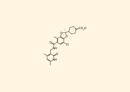 Cc1cc(C)c(CNC(=O)c2cc(Cl)c3c(c2C)O[C@@](C)(C2CCN(C(=O)O)CC2)O3)c(=O)[nH]1